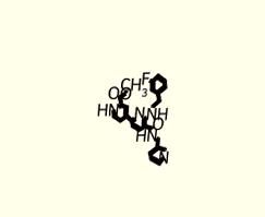 COC(=O)C1C=C(c2ccc(C(=O)NCc3cccnc3)c(NCCc3cccc(F)c3)n2)CCN1